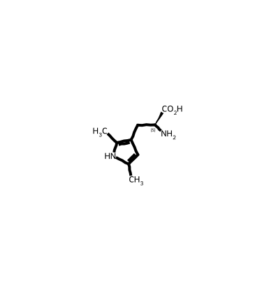 Cc1cc(C[C@H](N)C(=O)O)c(C)[nH]1